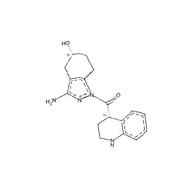 Nc1nn(C(=O)[C@H]2CCNc3ccccc32)c2c1C[C@H](O)CC2